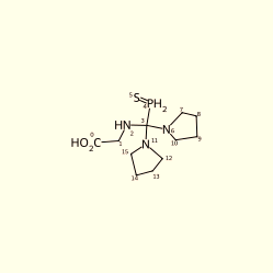 O=C(O)CNC([PH2]=S)(N1CCCC1)N1CCCC1